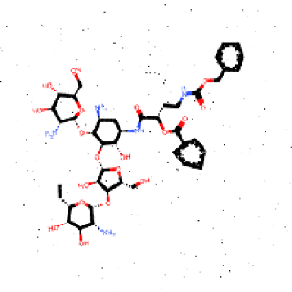 CC[C@@H]1O[C@H](O[C@H]2[C@@H](O)[C@H](O[C@@H]3[C@@H](O)[C@H](NC(=O)[C@H](CCNC(=O)OCc4ccccc4)OC(=O)c4ccccc4)C[C@H](N)[C@H]3O[C@H]3O[C@H](CO)[C@@H](O)[C@H](O)[C@H]3N)O[C@@H]2CO)[C@H](N)[C@@H](O)[C@@H]1O